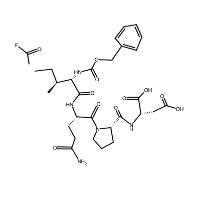 CC(=O)F.CC[C@H](C)[C@H](NC(=O)OCc1ccccc1)C(=O)N[C@@H](CCC(N)=O)C(=O)N1CCC[C@H]1C(=O)N[C@@H](CC(=O)O)C(=O)O